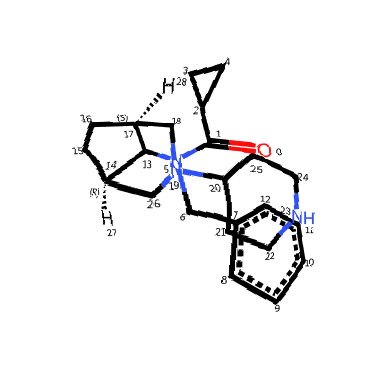 O=C(C1CC1)N(Cc1ccccc1)C1[C@@H]2CC[C@H]1CN(C1CCNCC1)C2